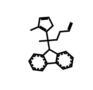 C=CCCC(C)(C1=C(C)C=CC1)C1c2ccccc2-c2ccccc21